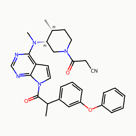 CC(C(=O)n1ccc2c(N(C)[C@H]3CN(C(=O)CC#N)CC[C@H]3C)ncnc21)c1cccc(Oc2ccccc2)c1